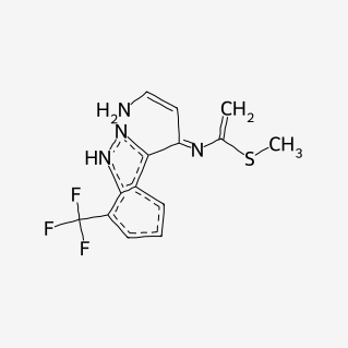 C=C(/N=C(\C=C/N)c1n[nH]c2c(C(F)(F)F)cccc12)SC